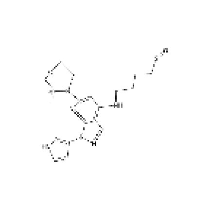 C[C@@H]1COCCN1c1cc(NCCCC[S+]=O)c2cnn(-c3cc[nH]n3)c2n1